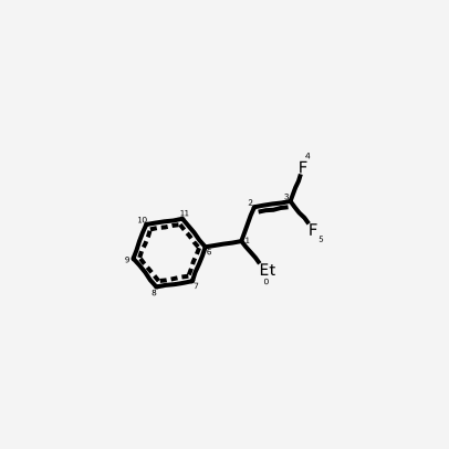 [CH2]CC(C=C(F)F)c1ccccc1